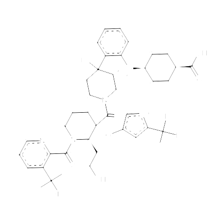 CCC[C@H]1N(C(=O)c2ncccc2C(F)(F)F)CCC[C@@]1(Oc1csc(C(F)(F)F)c1)C(=O)N1CCC(O)(c2ccccc2O[C@H]2CC[C@@H](C(=O)O)CC2)CC1